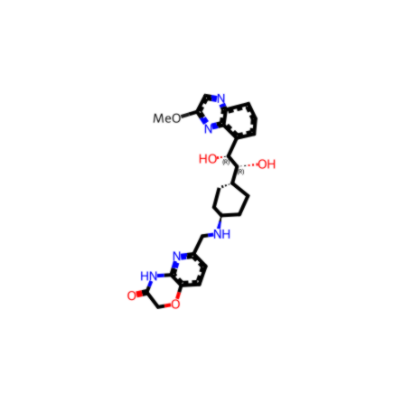 COc1cnc2cccc([C@@H](O)[C@H](O)[C@H]3CC[C@H](NCc4ccc5c(n4)NC(=O)CO5)CC3)c2n1